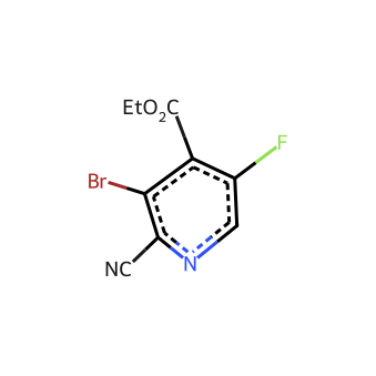 CCOC(=O)c1c(F)cnc(C#N)c1Br